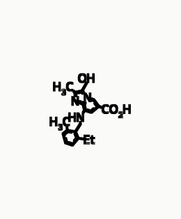 CCc1cccc(C)c1CNc1cc(C(=O)O)cn2c(CO)c(C)nc12